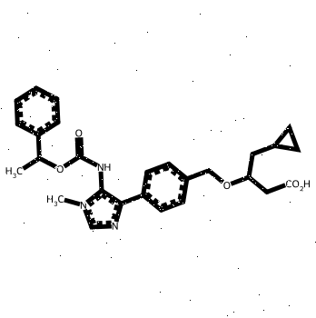 CC(OC(=O)Nc1c(-c2ccc(COC(CC(=O)O)CC3CC3)cc2)ncn1C)c1ccccc1